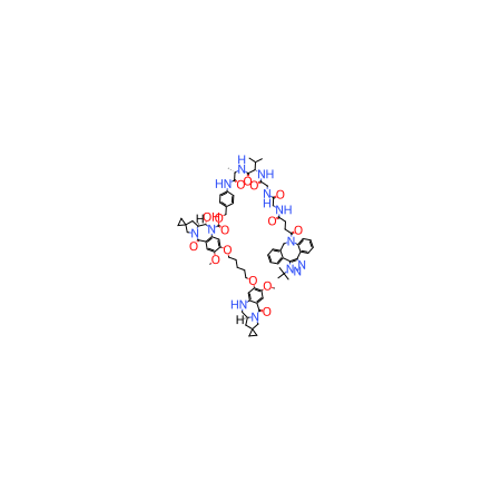 COc1cc2c(cc1OCCCCCOc1cc3c(cc1OC)C(=O)N1CC4(CC4)C[C@H]1[C@H](O)N3C(=O)OCc1ccc(NC(=O)[C@H](C)NC(=O)[C@@H](NC(=O)CNC(=O)CNC(=O)CCC(=O)N3Cc4ccccc4-c4c(nnn4C(C)(C)C)-c4ccccc43)C(C)C)cc1)NC[C@@H]1CC3(CC3)CN1C2=O